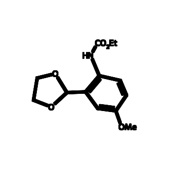 CCOC(=O)Nc1ccc(OC)cc1C1OCCO1